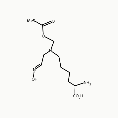 CSC(=O)OCN(CC=NO)CCCC[C@H](N)C(=O)O